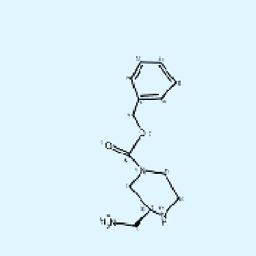 NC[C@H]1CN(C(=O)OCc2ccccc2)CCN1